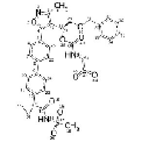 Cc1noc(-c2ccc(-c3ccc(C4(C(=O)NS(C)(=O)=O)CC4)cc3)cc2)c1[C@@H](COCc1ccccc1)OC(=O)NC=S(=O)=O